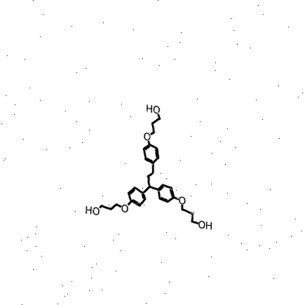 OCCCOc1ccc(CCC(c2ccc(OCCCO)cc2)c2ccc(OCCCO)cc2)cc1